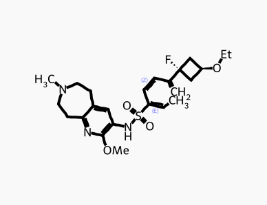 C=C(/C=C\C(=C/C)S(=O)(=O)Nc1cc2c(nc1OC)CCN(C)CC2)[C@]1(F)C[C@H](OCC)C1